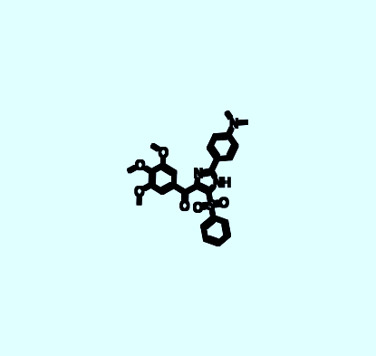 COc1cc(C(=O)c2nc(-c3ccc(N(C)C)cc3)[nH]c2S(=O)(=O)c2ccccc2)cc(OC)c1OC